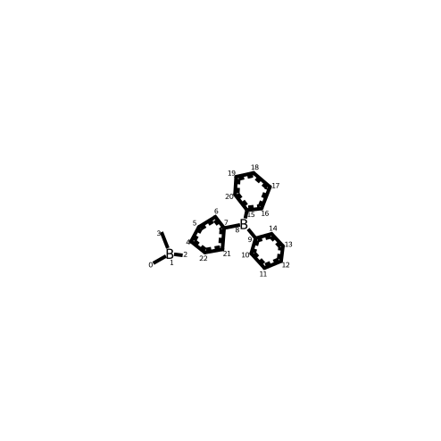 CB(C)C.c1ccc(B(c2ccccc2)c2ccccc2)cc1